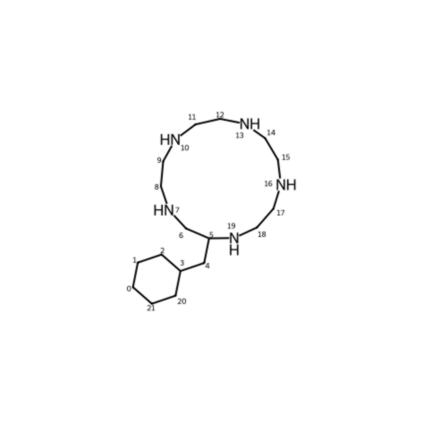 C1CCC(CC2CNCCNCCNCCNCCN2)CC1